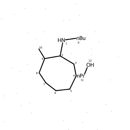 CCCCNC1CCCCCCC1C.CCCO